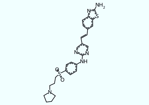 Nc1nc2ccc(C=Cc3cnc(Nc4ccc(S(=O)(=O)CCCN5CCCC5)cc4)nc3)cc2s1